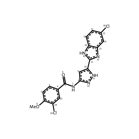 COc1ccc(C(=O)Nc2cc(-c3nc4cc(Cl)ccc4[nH]3)[nH]n2)cc1Cl